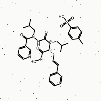 CC(C)C[C@@H](C(=O)NN(CC(C)C)C(=O)c1cccnc1)[C@H](CC=Cc1ccccc1)C(=O)NO.Cc1ccc(S(=O)(=O)O)cc1